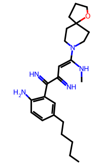 CCCCCc1ccc(N)c(C(=N)C(=N)/C=C(\NC)N2CCC3(CCCO3)CC2)c1